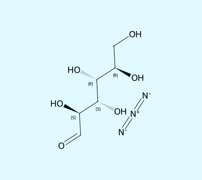 O=C[C@@H](O)[C@@H](O)[C@H](O)[C@H](O)CO.[N-]=[N+]=[N-]